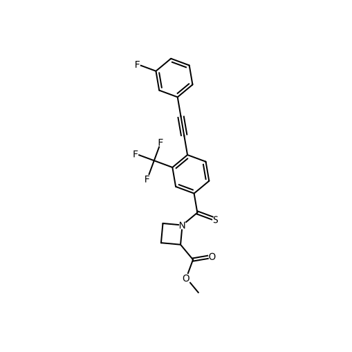 COC(=O)C1CCN1C(=S)c1ccc(C#Cc2cccc(F)c2)c(C(F)(F)F)c1